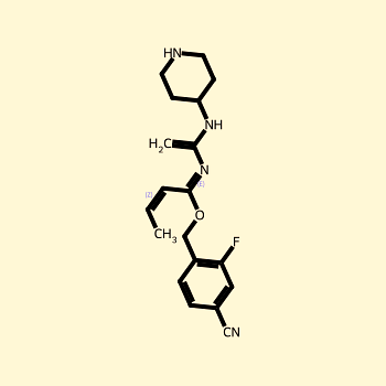 C=C(/N=C(\C=C/C)OCc1ccc(C#N)cc1F)NC1CCNCC1